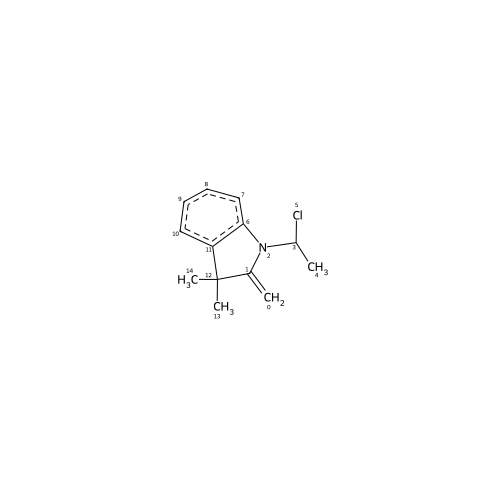 C=C1N(C(C)Cl)c2ccccc2C1(C)C